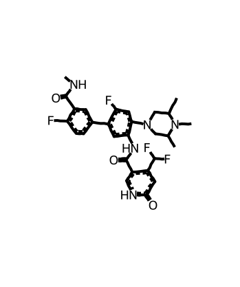 CNC(=O)c1cc(-c2cc(NC(=O)c3c[nH]c(=O)cc3C(F)F)c(N3CC(C)N(C)C(C)C3)cc2F)ccc1F